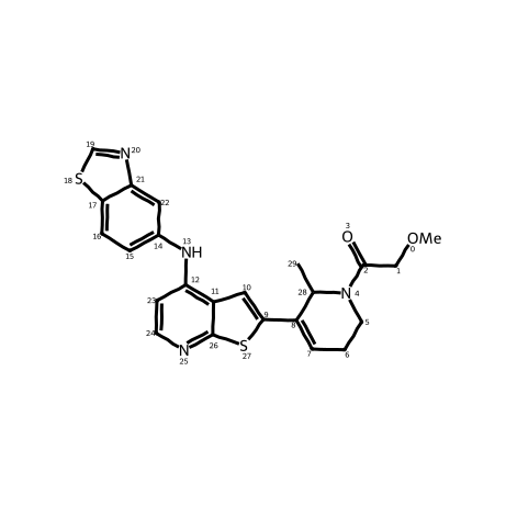 COCC(=O)N1CCC=C(c2cc3c(Nc4ccc5scnc5c4)ccnc3s2)C1C